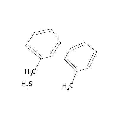 Cc1ccccc1.Cc1ccccc1.S